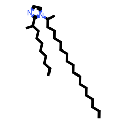 CCCCCCCCCCCCCCCCCC(C)n1ccnc1C(C)CCCCCCCC